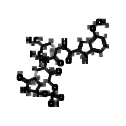 COc1cccc2[nH]c(C(=O)N[C@@H](CC(C)C)C(=O)NC(C[C@@H]3CCNC3=O)C(=O)COP(=O)(O)O)cc12